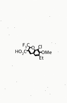 CCc1cc2c(c(Cl)c1OC)OC(C(F)(F)F)C(C(=O)O)=C2